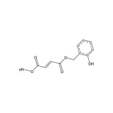 CCCOC(=O)/C=C/C(=O)OCc1ccccc1O